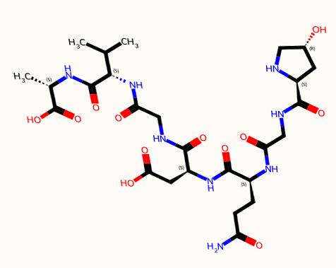 CC(C)[C@H](NC(=O)CNC(=O)[C@H](CC(=O)O)NC(=O)[C@H](CCC(N)=O)NC(=O)CNC(=O)[C@@H]1C[C@@H](O)CN1)C(=O)N[C@@H](C)C(=O)O